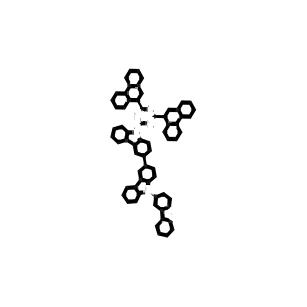 c1ccc2c(c1)cc(-c1nc(-c3cc4ccccc4c4ccccc34)nc(-n3c4ccccc4c4cc(-c5ccc6c(c5)c5ccccc5n6-c5ccc6oc7ccccc7c6c5)ccc43)n1)c1ccccc12